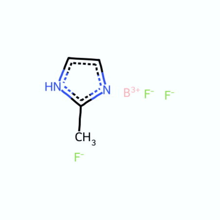 Cc1ncc[nH]1.[B+3].[F-].[F-].[F-]